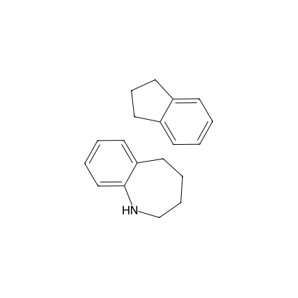 c1ccc2c(c1)CCC2.c1ccc2c(c1)CCCCN2